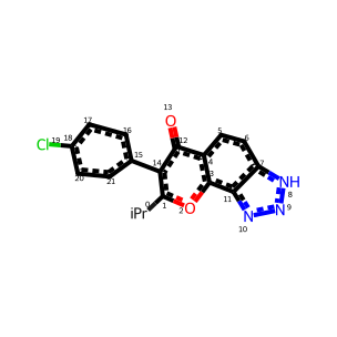 CC(C)c1oc2c(ccc3[nH]nnc32)c(=O)c1-c1ccc(Cl)cc1